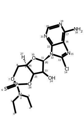 CCN(CC)P1(=S)OC[C@H]2O[C@@H](n3c(Cl)nc4c(N)ncnc43)C(O)C2O1